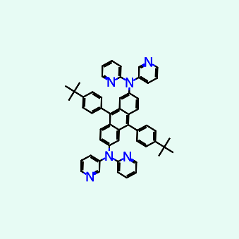 CC(C)(C)c1ccc(-c2c3ccc(N(c4cccnc4)c4ccccn4)cc3c(-c3ccc(C(C)(C)C)cc3)c3ccc(N(c4cccnc4)c4ccccn4)cc23)cc1